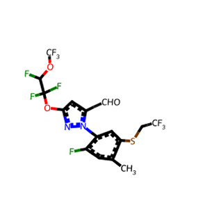 Cc1cc(F)c(-n2nc(OC(F)(F)C(F)OC(F)(F)F)cc2C=O)cc1SCC(F)(F)F